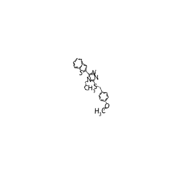 CCn1c(SCc2ccc(OC)cc2)nnc1-c1cc2ccccc2s1